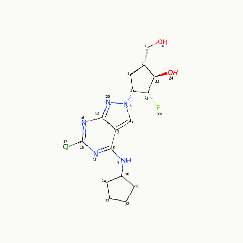 OC[C@H]1C[C@@H](n2cc3c(NC4CCCC4)nc(Cl)nc3n2)[C@@H](F)[C@@H]1O